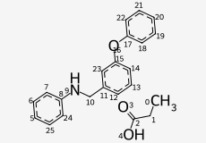 CCC(=O)O.c1ccc(NCc2cccc(Oc3ccccc3)c2)cc1